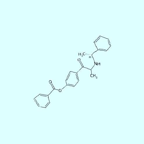 CC(N[C@H](C)c1ccccc1)C(=O)c1ccc(OC(=O)c2ccccc2)cc1